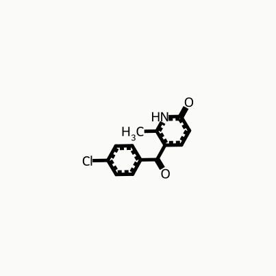 Cc1[nH]c(=O)ccc1C(=O)c1ccc(Cl)cc1